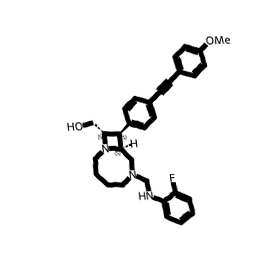 COc1ccc(C#Cc2ccc([C@@H]3[C@@H](CO)N4CCCCN(CNc5ccccc5F)C[C@H]34)cc2)cc1